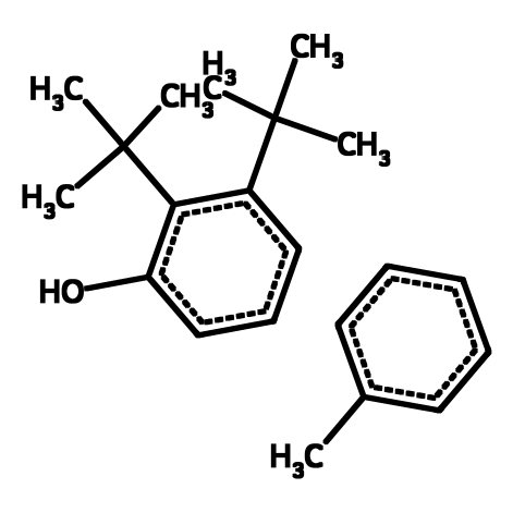 CC(C)(C)c1cccc(O)c1C(C)(C)C.Cc1ccccc1